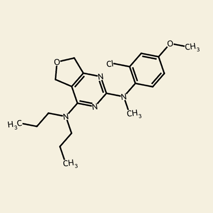 CCCN(CCC)c1nc(N(C)c2ccc(OC)cc2Cl)nc2c1COC2